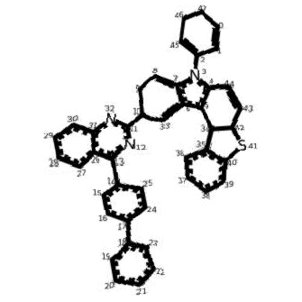 C1=CC(n2c3c(c4c2=CCC(c2nc(-c5ccc(-c6ccccc6)cc5)c5ccccc5n2)C=4)C2c4ccccc4SC2C=C3)=CCC1